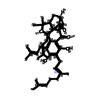 CC(C)=CCC/C(C)=C/Cc1c(O)c(CC=C(C)C)c2c(c1O)C(=O)C1=C[C@@H]3CC4C(C)(C)OC(CC=C(C)C)(C3=O)[C@@]14O2